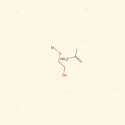 C=C(C)C(=O)O.CCOCCO